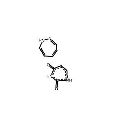 C1=CC=NNC=C1.O=c1cc[nH]c(=O)[nH]1